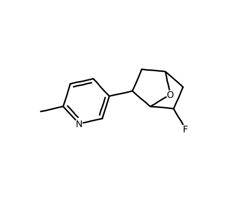 Cc1ccc(C2CC3CC(F)C2O3)cn1